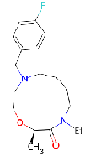 CCN1CCCCN(Cc2ccc(F)cc2)CCO[C@H](C)C1=O